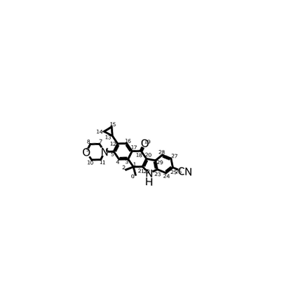 CC1(C)c2cc(N3CCOCC3)c(C3CC3)cc2C(=O)c2c1[nH]c1cc(C#N)ccc21